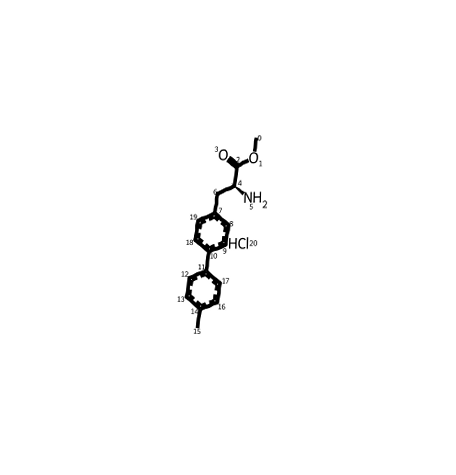 COC(=O)[C@@H](N)Cc1ccc(-c2ccc(C)cc2)cc1.Cl